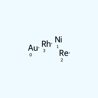 [Au].[Ni].[Re].[Rh]